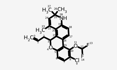 C=CCC1Oc2ccc(Cl)c(OC(F)F)c2-c2ccc3c(c21)C(C)=CC(C)(C)N3